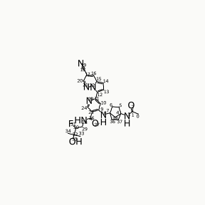 CC(=O)NC12CCC(Nc3cc(-c4ccc5cc(C#N)cnn45)ncc3C(=O)NCC(F)C(C)(C)O)(CC1)C2